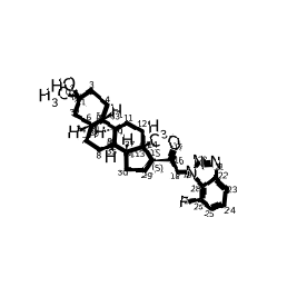 C[C@@]1(O)CC[C@H]2[C@H](CC[C@@H]3[C@@H]2CC[C@]2(C)[C@@H](C(=O)Cn4nnc5cccc(F)c54)CC[C@@H]32)C1